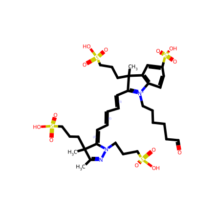 CC1=NN(CCCS(=O)(=O)O)\C(=C/C=C/C=C/C2=[N+](CCCCCC=O)c3ccc(S(=O)(=O)O)cc3C2(C)CCCS(=O)(=O)O)C1(C)CCCS(=O)(=O)O